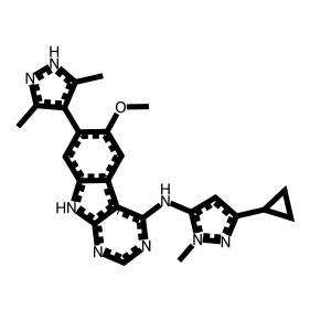 COc1cc2c(cc1-c1c(C)n[nH]c1C)[nH]c1ncnc(Nc3cc(C4CC4)nn3C)c12